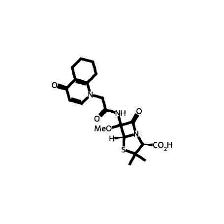 COC1(NC(=O)Cn2ccc(=O)c3c2CCCC3)C(=O)N2[C@@H](C(=O)O)C(C)(C)S[C@@H]21